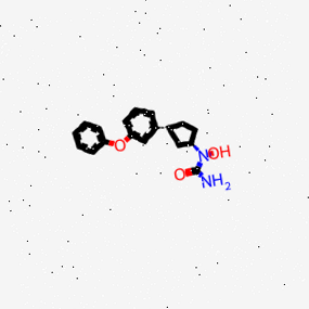 NC(=O)N(O)[C@@H]1CC[C@@H](c2cccc(Oc3ccccc3)c2)C1